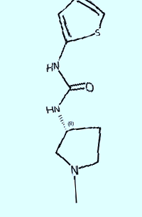 CN1CC[C@@H](NC(=O)Nc2cccs2)C1